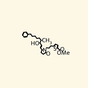 COC(=O)c1ccc(CCCN2C(=O)CCC2C=C[C@@H](O)[C@H](C)CCCCCc2ccccc2)s1